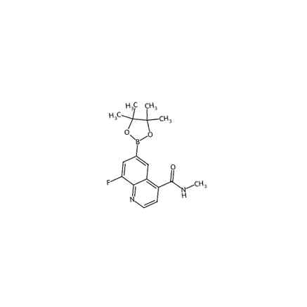 CNC(=O)c1ccnc2c(F)cc(B3OC(C)(C)C(C)(C)O3)cc12